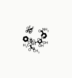 COC(=O)[C@H](C)NP(=O)(OC[C@H]1O[C@@H]([n+]2cccc(C(N)=O)c2)[C@H](O)[C@@H]1O)Oc1ccccc1.O=S(=O)([O-])C(F)(F)F